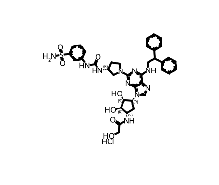 Cl.NS(=O)(=O)c1cccc(NC(=O)N[C@@H]2CCN(c3nc(NCC(c4ccccc4)c4ccccc4)c4ncn([C@@H]5C[C@H](NC(=O)CO)[C@@H](O)[C@H]5O)c4n3)C2)c1